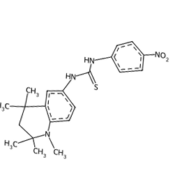 CN1c2ccc(NC(=S)Nc3ccc([N+](=O)[O-])cc3)cc2C(C)(C)CC1(C)C